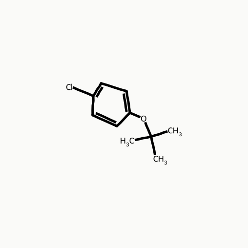 CC(C)(C)Oc1ccc(Cl)cc1